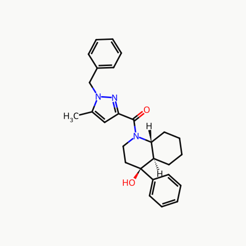 Cc1cc(C(=O)N2CC[C@@](O)(c3ccccc3)[C@@H]3CCCC[C@H]32)nn1Cc1ccccc1